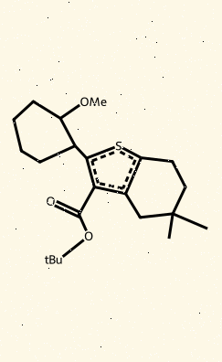 COC1CCCCC1c1sc2c(c1C(=O)OC(C)(C)C)CC(C)(C)CC2